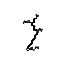 CCOC(=O)CCCCCCN(CCCC(CCCC(C)C)OC(C)=O)C(C)=O